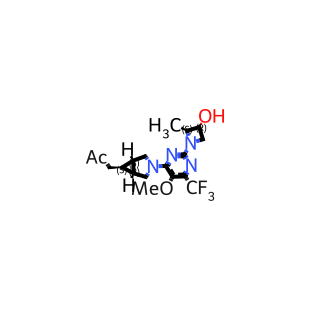 COc1c(N2C[C@@H]3[C@@H](CC(C)=O)[C@@H]3C2)nc(N2C[C@@H](O)[C@@H]2C)nc1C(F)(F)F